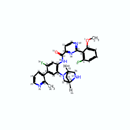 COc1cccc(F)c1-c1nccc(C(=O)Nc2cc(F)c(-c3cccnc3C)cc2N2C[C@@H]3C[C@H]2CN3)n1